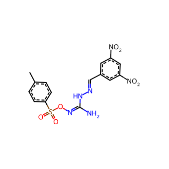 Cc1ccc(S(=O)(=O)ON=C(N)NN=Cc2cc([N+](=O)[O-])cc([N+](=O)[O-])c2)cc1